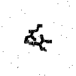 C=C(C)C(=O)O.C=CC(=O)NCO